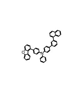 c1ccc(N(c2ccc(-c3cccc(-c4cccc5ccccc45)c3)cc2)c2ccc(-c3cccc4oc5ccccc5c34)cc2)cc1